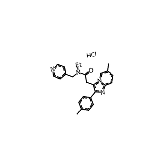 CCN(Cc1ccncc1)C(=O)Cc1c(-c2ccc(C)cc2)nc2ccc(C)cn12.Cl